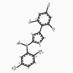 CCCN(c1nc(-c2c(Cl)cc(Cl)cc2Cl)cs1)c1cc(C(F)(F)F)ccc1C(F)(F)F